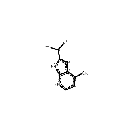 N#Cc1ccnc2[nH]c(C(F)F)cc12